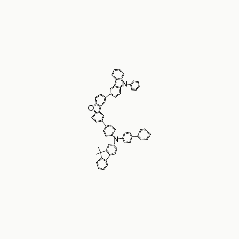 CC1(C)c2ccccc2-c2ccc(N(c3ccc(-c4ccccc4)cc3)c3ccc(-c4ccc5oc6ccc(-c7ccc8c(c7)c7ccccc7n8-c7ccccc7)cc6c5c4)cc3)cc21